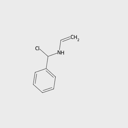 C=CNC(Cl)c1ccccc1